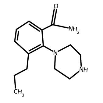 CCCc1cccc(C(N)=O)c1N1CCNCC1